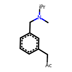 CC(=O)Cc1cccc(CN(C)C(C)C)c1